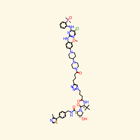 COc1cc(N2CCC(N3CCN(C(=O)CCCc4cn(CCCC(=O)N[C@H](C(=O)N5C[C@H](O)C[C@H]5C(=O)NCc5ccc(-c6scnc6C)cc5)C(C)(C)C)nn4)CC3)CC2)ccc1Nc1ncc(Cl)c(Nc2ccccc2P(C)(C)=O)n1